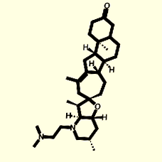 CC1=C2C[C@H]3[C@@H](CCC4CC(=O)CC[C@@]43C)[C@@H]2CC[C@@]2(C1)O[C@@H]1C[C@H](C)CN(CCN(C)C)[C@H]1[C@H]2C